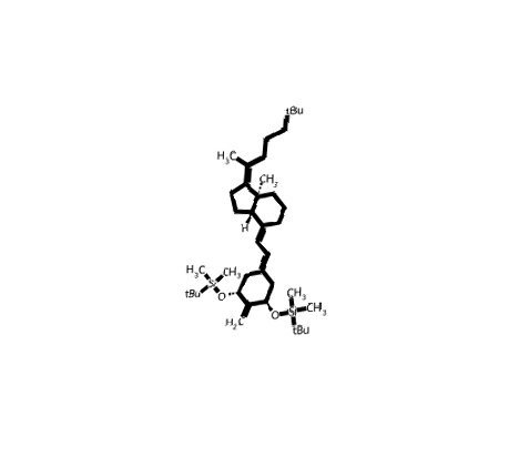 C=C1[C@H](O[Si](C)(C)C(C)(C)C)CC(=C/C=C2\CCC[C@]3(C)/C(=C(/C)CCCC(C)(C)C)CC[C@@H]23)C[C@H]1O[Si](C)(C)C(C)(C)C